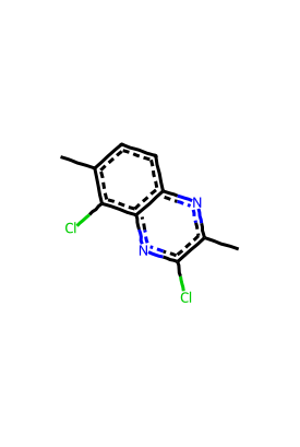 Cc1ccc2nc(C)c(Cl)nc2c1Cl